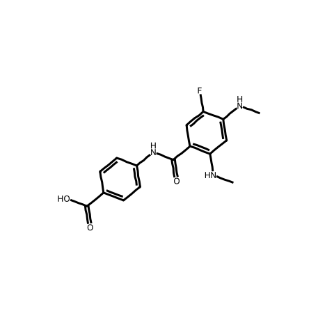 CNc1cc(NC)c(C(=O)Nc2ccc(C(=O)O)cc2)cc1F